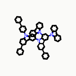 C1=CC2C(C=C1c1ccccc1)c1cc(-n3c4ccccc4c4ccccc43)cc(-n3c4ccccc4c4ccccc43)c1N2c1ccc2c(c1)c1cc(-c3ccccc3)ccc1n2-c1ccc(-c2ccccc2)cc1